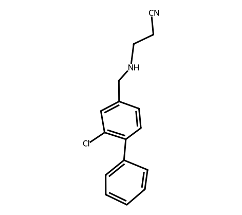 N#CCCNCc1ccc(-c2ccccc2)c(Cl)c1